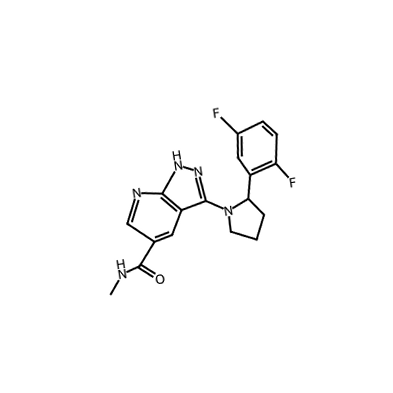 CNC(=O)c1cnc2[nH]nc(N3CCCC3c3cc(F)ccc3F)c2c1